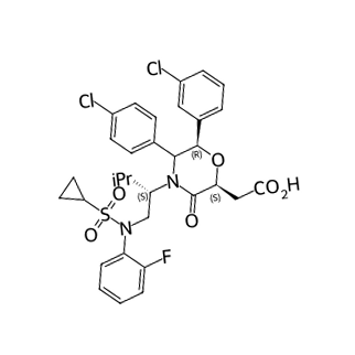 CC(C)[C@@H](CN(c1ccccc1F)S(=O)(=O)C1CC1)N1C(=O)[C@H](CC(=O)O)O[C@H](c2cccc(Cl)c2)C1c1ccc(Cl)cc1